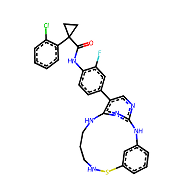 O=C(Nc1ccc(-c2cnc3nc2NCCCNSc2cccc(c2)N3)cc1F)C1(c2ccccc2Cl)CC1